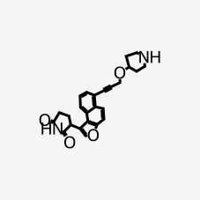 O=C1CCC(c2coc3ccc4c(C#CCOC5CCNCC5)cccc4c23)C(=O)N1